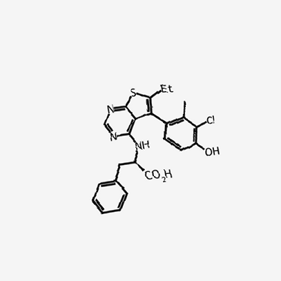 CCc1sc2ncnc(N[C@H](Cc3ccccc3)C(=O)O)c2c1-c1ccc(O)c(Cl)c1C